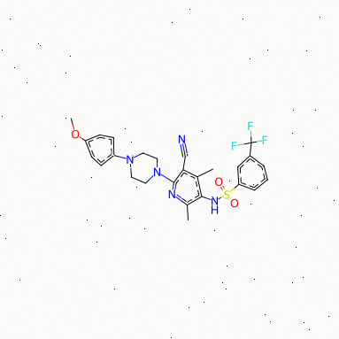 COc1ccc(N2CCN(c3nc(C)c(NS(=O)(=O)c4cccc(C(F)(F)F)c4)c(C)c3C#N)CC2)cc1